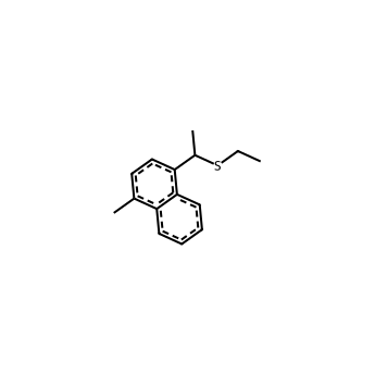 CCSC(C)c1ccc(C)c2ccccc12